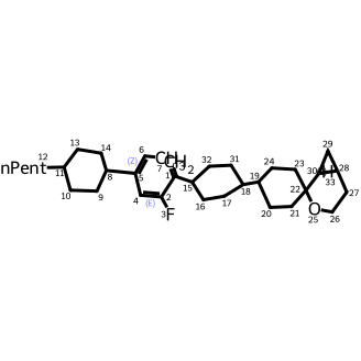 C=C(/C(F)=C\C(=C/C)C1CCC(CCCCC)CC1)C1CCC(C2CCC3(CC2)OCCC2C[C@H]23)CC1